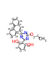 CCCOc1nc(-c2c(O)cccc2O)nc(-c2cc3ccccc3c3ccccc23)n1